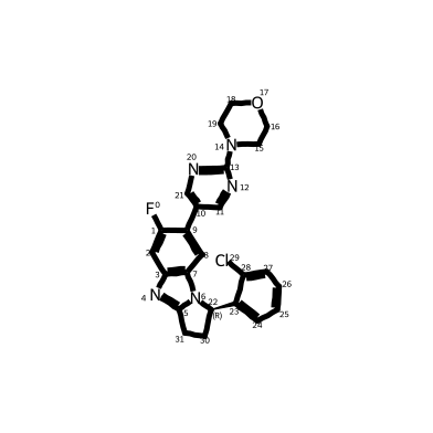 Fc1cc2nc3n(c2cc1-c1cnc(N2CCOCC2)nc1)[C@@H](c1ccccc1Cl)CC3